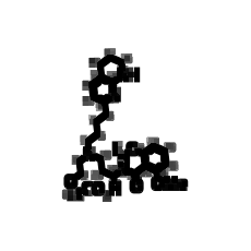 CCOCCN(CCCCc1ccc2c(n1)NCCC2)CCC(NC(=O)c1c(OC)cccc1C(F)(F)F)C(=O)O